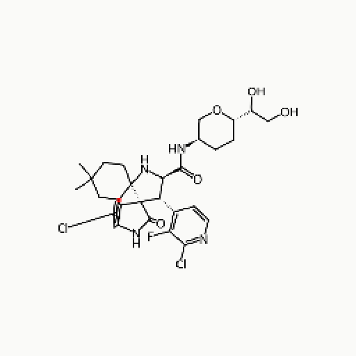 CC1(C)CCC2(CC1)N[C@@H](C(=O)N[C@@H]1CC[C@@H](C(O)CO)OC1)[C@H](c1ccnc(Cl)c1F)[C@]21C(=O)Nc2cc(Cl)ccc21